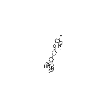 C[C@H](C(=O)N1CCC(c2ccc(S(=O)(=O)Nc3nccs3)cc2)CC1)n1ccc2c(F)cccc21